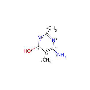 Cc1nc(N)c(C)c(O)n1